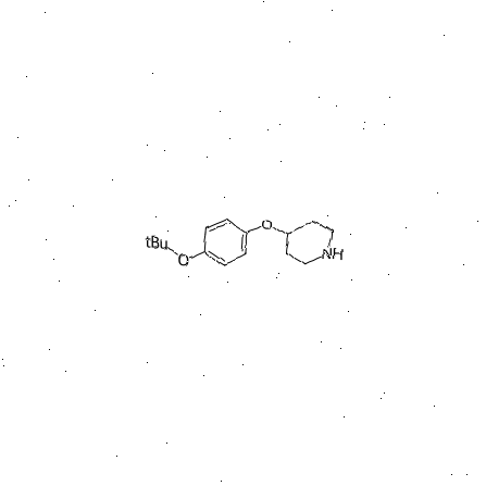 CC(C)(C)Oc1ccc(OC2CCNCC2)cc1